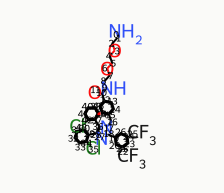 NCCOCCOCCNC(=O)c1ccc(Cn2c(-c3cc(C(F)(F)F)cc(C(F)(F)F)c3)nc(-c3ccccc3Cl)c2-c2ccccc2Cl)cc1